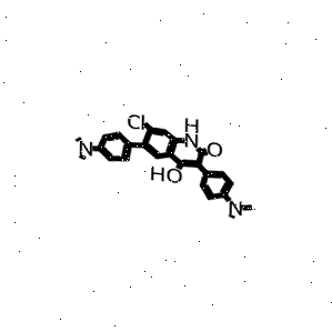 CN(C)c1ccc(-c2cc3c(O)c(-c4ccc(N(C)C)cc4)c(=O)[nH]c3cc2Cl)cc1